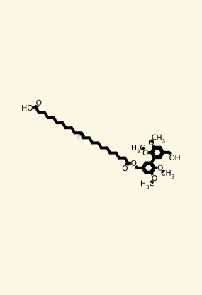 COc1cc(CO)cc(-c2cc(COC(=O)CCCCCCCCC/C=C/CCCCCCCCCC(=O)O)cc(OC)c2OC)c1OC